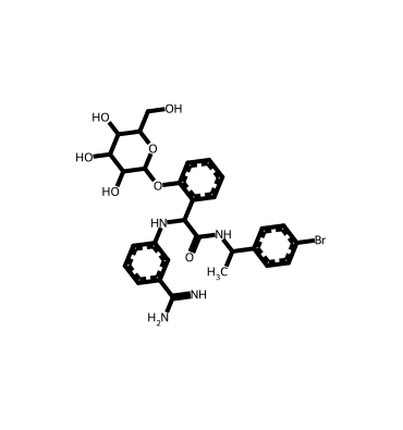 CC(NC(=O)C(Nc1cccc(C(=N)N)c1)c1ccccc1OC1OC(CO)C(O)C(O)C1O)c1ccc(Br)cc1